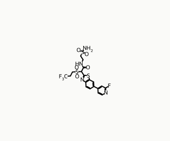 NS(=O)(=O)CCNC(=O)C(c1nc2ccc(-c3ccnc(F)c3)cc2s1)S(=O)(=O)CCC(F)(F)F